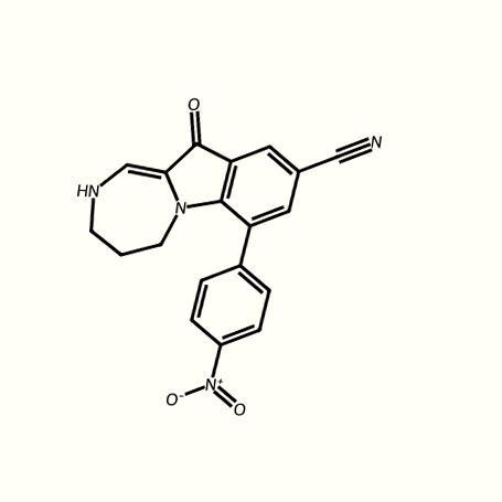 N#Cc1cc2c(c(-c3ccc([N+](=O)[O-])cc3)c1)N1CCCNC=C1C2=O